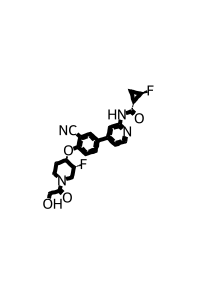 N#Cc1cc(-c2ccnc(NC(=O)[C@@H]3C[C@H]3F)c2)ccc1O[C@H]1CCN(C(=O)CO)C[C@H]1F